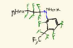 CCCCCCN(c1cc(F)c(F)c(C(F)(F)C(F)(F)F)c1F)C(F)(F)C(F)(F)C(F)(F)CCCCCC